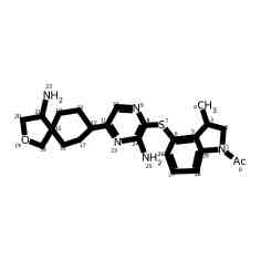 CC(=O)N1CC(C)c2c(Sc3ncc(C4CCC5(CC4)COCC5N)nc3N)cccc21